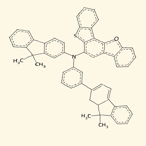 CC1(C)c2ccccc2-c2ccc(N(c3cccc(C4=CC=C5c6ccccc6C(C)(C)C5C4)c3)c3cc4c5ccccc5oc4c4c3sc3ccccc34)cc21